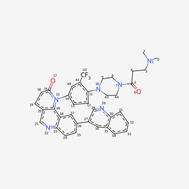 CN(C)CCC(=O)N1CCN(c2ccc(-n3c(=O)ccc4cnc5ccc(-c6cnc7ccccc7c6)cc5c43)cc2C(F)(F)F)CC1